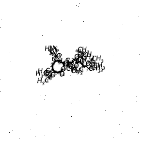 CC[C@H](O[Si](CC)(CC)CC)[C@@H](C)[C@H]1O[C@H]1[C@@](C)(OC(C)=O)[C@@](C)(/C=C/C(C)=C(\C)[C@H]1C/C=C/[C@H](OC(=O)N2CCNCC2)CCC[C@@H](O[Si](CC)(CC)CC)CC(=O)O1)O[Si](CC)(CC)CC